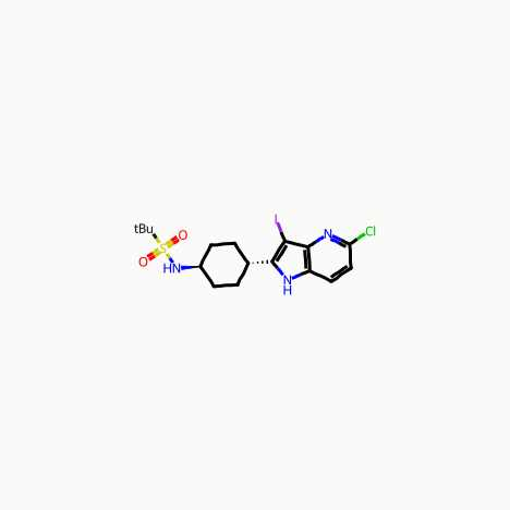 CC(C)(C)S(=O)(=O)N[C@H]1CC[C@H](c2[nH]c3ccc(Cl)nc3c2I)CC1